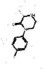 C[C@@H]1NCCN(c2ccc(F)cc2)C1=O